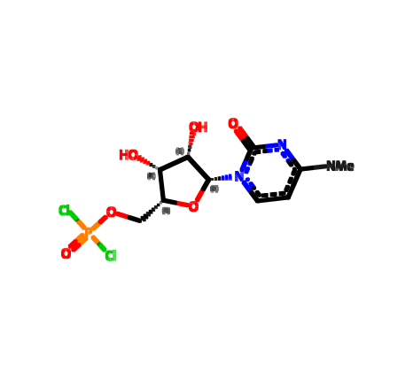 CNc1ccn([C@@H]2O[C@H](COP(=O)(Cl)Cl)[C@H](O)[C@@H]2O)c(=O)n1